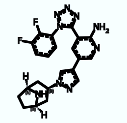 Nc1ncc(-c2cnn([C@H]3C[C@H]4CC[C@@H](C3)N4)c2)cc1-c1nnnn1-c1cccc(F)c1F